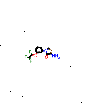 NC1SCN(c2cccc(OC(F)C(F)F)c2)C1=O